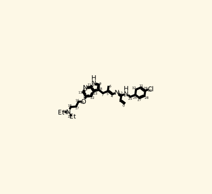 C=C/C(=N\C=C(/C)Cc1c[nH]c2ncc(OCCCN(CC)CC)cc12)NCC1C=CC(Cl)=CC1